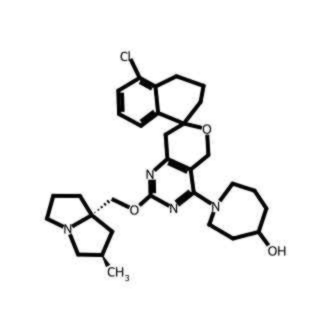 C[C@H]1CN2CCC[C@@]2(COc2nc3c(c(N4CCCC(O)CC4)n2)COC2(CCCc4c(Cl)cccc42)C3)C1